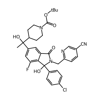 CC(C)(C)OC(=O)N1CCC(C(C)(O)c2cc(F)c3c(c2)C(=O)N(Cc2ccc(C#N)cn2)C3(O)c2ccc(Cl)cc2)CC1